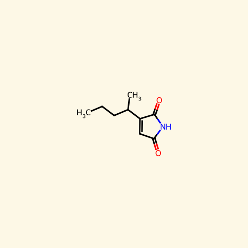 CCCC(C)C1=CC(=O)NC1=O